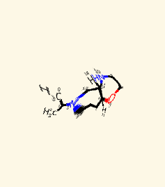 CC(C)N1CC[C@H]2OCCN[C@H]2C1